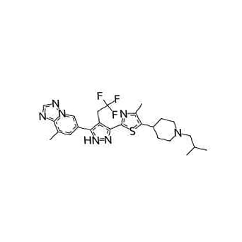 Cc1nc(-c2n[nH]c(-c3cc(C)c4ncnn4c3)c2CC(F)(F)F)sc1C1CCN(CC(C)C)CC1